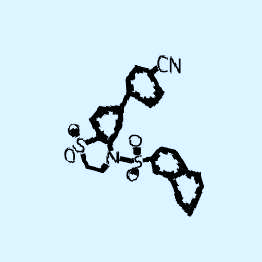 N#Cc1ccc(-c2ccc3c(c2)N(S(=O)(=O)c2ccc4ccccc4c2)CCS3(=O)=O)cc1